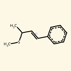 CSC(C)/C=C/c1ccccc1